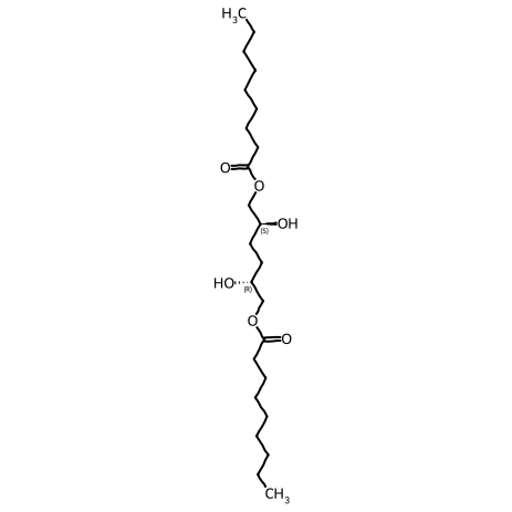 CCCCCCCCC(=O)OC[C@H](O)CC[C@H](O)COC(=O)CCCCCCCC